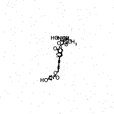 CC(CCN1Cc2cc(C#CC#CCOC(=O)N3CC(O)C3)sc2C1=O)(C(=O)NO)S(C)(=O)=O